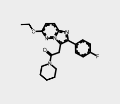 CCOc1ccc2nc(-c3ccc(F)cc3)c(CC(=O)N3CCCCC3)n2n1